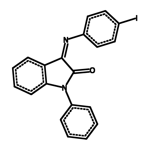 O=C1C(=Nc2ccc(I)cc2)c2ccccc2N1c1ccccc1